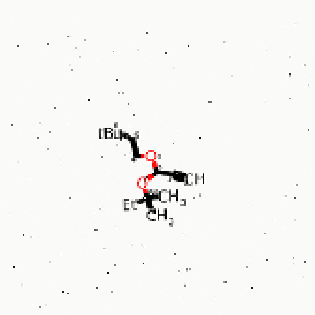 C#CC(OCCC(C)(C)C)OC(C)(C)CC